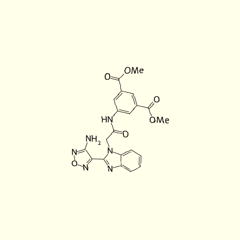 COC(=O)c1cc(NC(=O)Cn2c(-c3nonc3N)nc3ccccc32)cc(C(=O)OC)c1